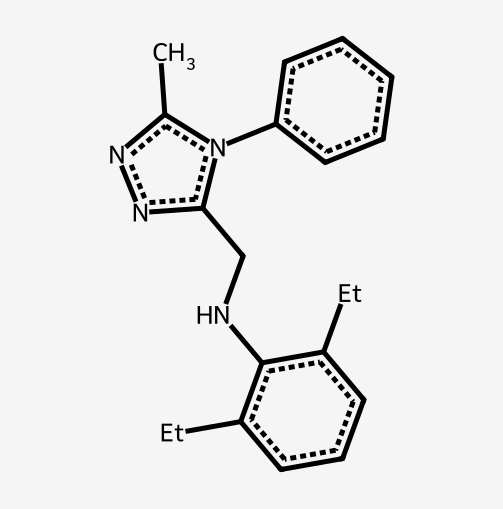 CCc1cccc(CC)c1NCc1nnc(C)n1-c1ccccc1